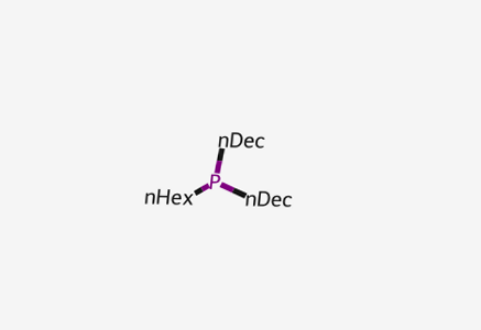 CCCCCCCCCCP(CCCCCC)CCCCCCCCCC